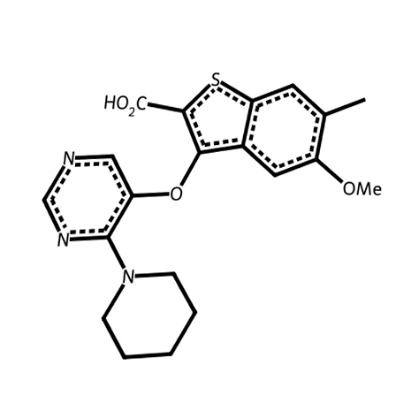 COc1cc2c(Oc3cncnc3N3CCCCC3)c(C(=O)O)sc2cc1C